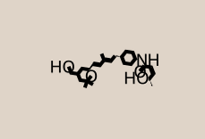 CC(/C=C/[C@@H]1CC(CO)CC(C)(C)O1)=C\C[C@H]1CC[C@@H](NC(=O)/C=C\[C@H](C)O)CC1